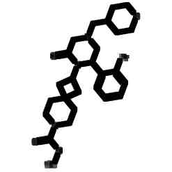 CC(C)c1ccccc1C1CN(CC2CCOCC2)CC(=O)N1C1CC2(CCN(C(=O)OC(C)(C)C)CC2)C1